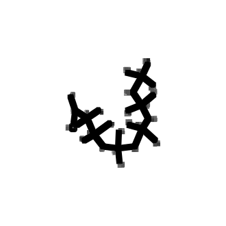 CC1OC1(C)C(C)(C)CC(C)(C)CC(C)(C)CC(C)(C)CC(C)(C)C